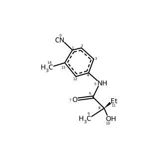 [C-]#[N+]c1ccc(NC(=O)[C@@](C)(O)CC)cc1C